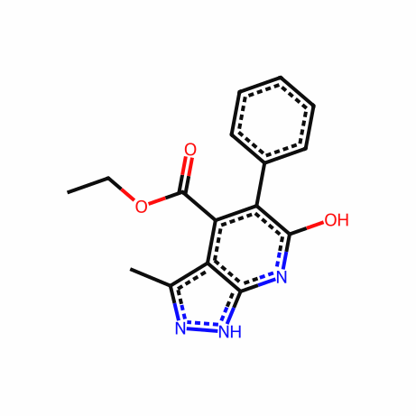 CCOC(=O)c1c(-c2ccccc2)c(O)nc2[nH]nc(C)c12